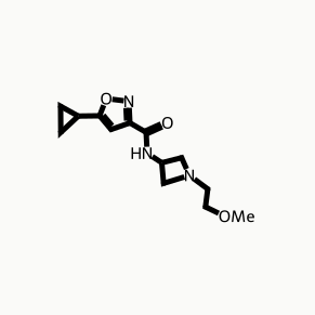 COCCN1CC(NC(=O)c2cc(C3CC3)on2)C1